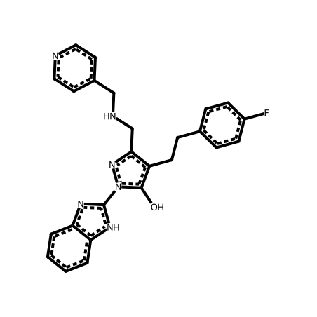 Oc1c(CCc2ccc(F)cc2)c(CNCc2ccncc2)nn1-c1nc2ccccc2[nH]1